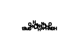 CC(C)(C)OC(=O)N1C[C@@H]2C[C@H]1CN2c1ncc(C(=O)NO)cn1